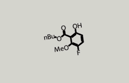 CCCCOC(=O)c1c(O)ccc(F)c1OC